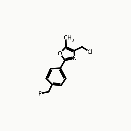 Cc1oc(-c2ccc(CF)cc2)nc1CCl